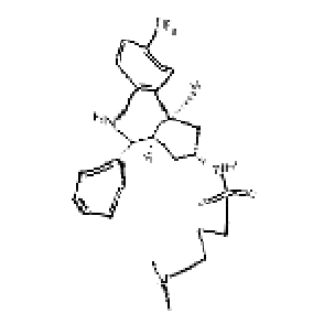 CN(C)CCCS(=O)(=O)N[C@@H]1C[C@@H]2[C@H](C1)c1cc(C(F)(F)F)ccc1N[C@H]2c1ccccc1